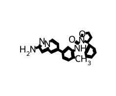 Cc1ccc(-c2ccn3nc(N)cc3c2)cc1NC(=O)N1OCC[C@H]1c1ccccc1